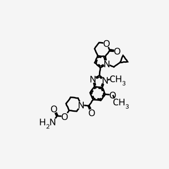 COc1cc(C(=O)N2CCCC(OC(N)=O)C2)cc2nc(-c3cc4c(n3CC3CC3)C(=O)OCC4)n(C)c12